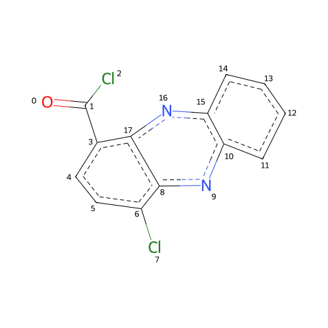 O=C(Cl)c1ccc(Cl)c2nc3ccccc3nc12